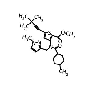 COC(=O)c1sc(C#CC(C)(C)C)cc1N(Cc1ccn(C)n1)C(=O)C1CCC(C)CC1